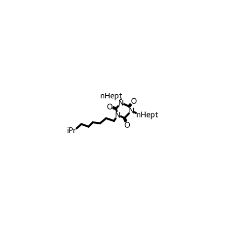 CCCCCCCn1c(=O)n(CCCCCCC)c(=O)n(CCCCCCC(C)C)c1=O